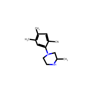 Cc1cc(C#N)c(N2CCNC(C)C2)cc1C